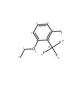 CCOc1cccc(C)c1C(F)(F)F